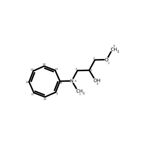 COCC(O)CN(C)C1=C/C=C\C=C/C=C\1